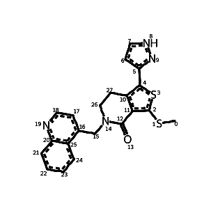 CSc1sc(-c2cc[nH]n2)c2c1C(=O)N(Cc1ccnc3ccccc13)CC2